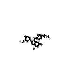 COc1cnc(Cn2c(N3CC[C@@H](F)[C@H](N)C3)nc3c(F)cc(F)cc32)nc1